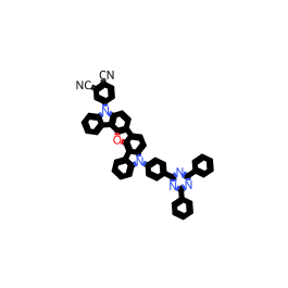 N#Cc1ccc(-n2c3ccccc3c3c4oc5c(ccc6c5c5ccccc5n6-c5ccc(-c6nc(-c7ccccc7)nc(-c7ccccc7)n6)cc5)c4ccc32)cc1C#N